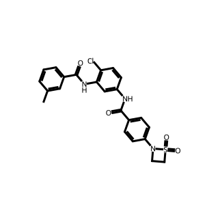 Cc1cccc(C(=O)Nc2cc(NC(=O)c3ccc(N4CCS4(=O)=O)cc3)ccc2Cl)c1